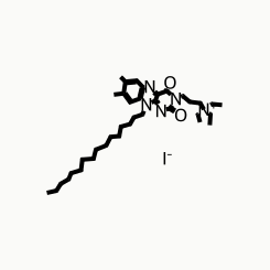 CCCCCCCCCCCCCCCCn1c2nc(=O)n(CCC[N+](CC)(CC)CC)c(=O)c-2nc2cc(C)c(C)cc21.[I-]